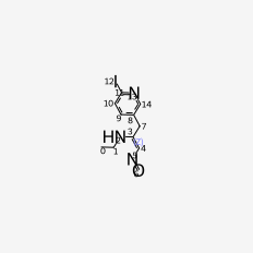 CCN/C(=C\N=O)Cc1ccc(I)nc1